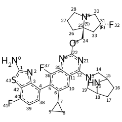 Nc1nc2c(-c3c(C4CC4)cc4c(N5CC6CCC(C5)N6)nc(OC[C@@]56CCCN5C[C@H](F)C6)nc4c3F)ccc(F)c2s1